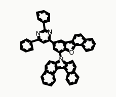 c1ccc(-c2cc(-c3cc(-n4c5ccc6ccccc6c5c5c6ccccc6ccc54)c4oc5c6ccccc6ccc5c4c3)nc(-c3ccccc3)n2)cc1